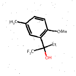 CCC(O)(c1cc(C)ccc1OC)C(F)(F)F